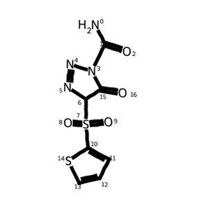 NC(=O)N1N=NC(S(=O)(=O)c2cccs2)C1=O